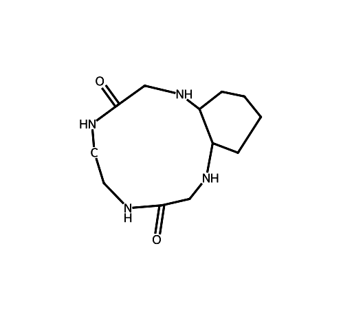 O=C1CNC2CCCCC2NCC(=O)NCCN1